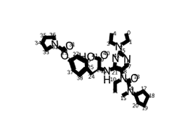 CCN(CC)c1ncc(N(CC)C(=O)N(C)C2CCCC2)c(N[C@@H](Cc2ccc(OC(=O)N3CCCC3)cc2)C(=O)O)n1